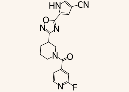 N#Cc1c[nH]c(-c2nc(C3CCCN(C(=O)c4ccnc(F)c4)C3)no2)c1